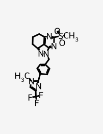 Cn1cc(C(F)(F)F)nc1-c1ccc(Cn2nc3c4c(nc(S(C)(=O)=O)nc42)CCC3)cc1